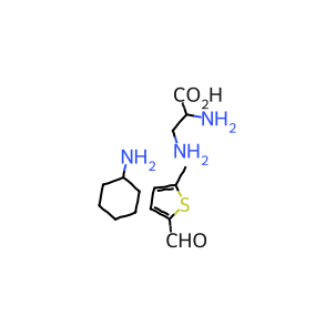 Cc1ccc(C=O)s1.NC1CCCCC1.NCC(N)C(=O)O